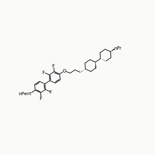 CCCCCc1ccc(-c2ccc(OCCC[C@H]3CC[C@H]([C@H]4CC[C@H](CCC)CC4)CC3)c(F)c2F)c(F)c1F